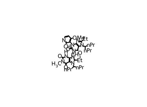 CCCC(CCC)n1c(CC)nc2[nH]c(=O)n(C)c(=O)c21.CCCC(CCC)n1c(CC)nc2c1c(=O)n(C)c(=O)n2-c1c(OC)ccnc1C